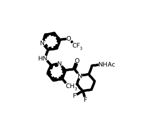 CC(=O)NCC1CCC(F)(F)CN1C(=O)c1nc(Nc2cc(OC(F)(F)F)ccn2)ccc1C